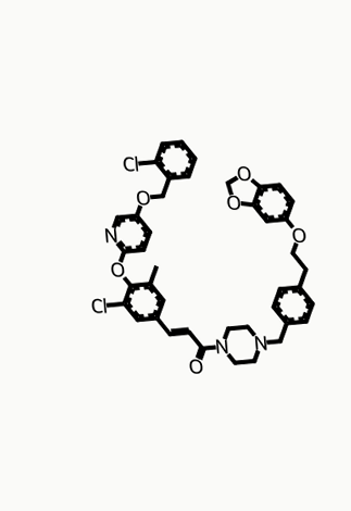 Cc1cc(C=CC(=O)N2CCN(Cc3ccc(CCOc4ccc5c(c4)OCO5)cc3)CC2)cc(Cl)c1Oc1ccc(OCc2ccccc2Cl)cn1